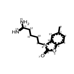 Cc1ccc2oc(=O)n(CCCCC(=N)N)c2c1